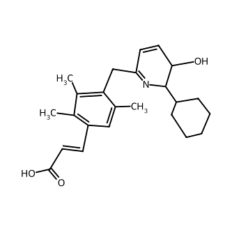 Cc1cc(/C=C/C(=O)O)c(C)c(C)c1CC1=NC(C2CCCCC2)C(O)C=C1